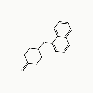 O=C1CCC(Sc2cccc3ccccc23)CC1